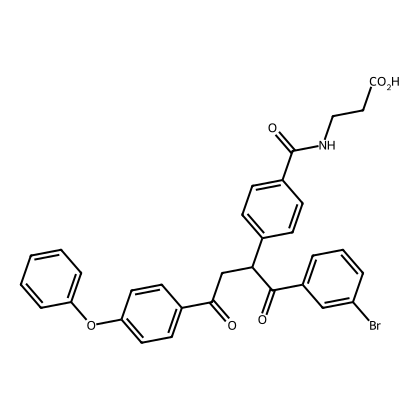 O=C(O)CCNC(=O)c1ccc(C(CC(=O)c2ccc(Oc3ccccc3)cc2)C(=O)c2cccc(Br)c2)cc1